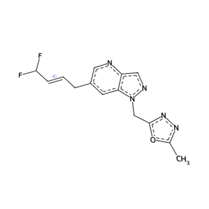 Cc1nnc(Cn2ncc3ncc(C/C=C/C(F)F)cc32)o1